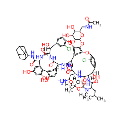 CC(=O)NCC1OC(Oc2c3cc4cc2Oc2ccc(cc2Cl)[C@@H](O)[C@H]2NC(=O)[C@H](NC(=O)[C@@H]4NC(=O)[C@H](CC(N)=O)NC(=O)[C@H](NC(=O)[C@@H](CC(C)C)N(C)C(=O)OC(C)(C)C)[C@H](O)c4ccc(c(Cl)c4)O3)c3ccc(O)c(c3)-c3c(O)cc(O)cc3[C@@H](C(=O)NC3C4CC5CC(C4)CC3C5)NC2=O)C(O)C(O)C1O